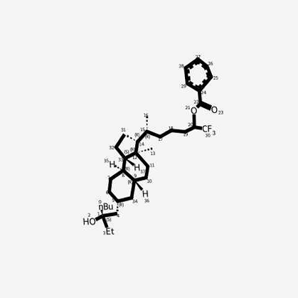 CCCC[C@@](O)(CC)C[C@@H]1CC[C@@H]2[C@H](CC[C@]3(C)[C@@H]([C@H](C)CCCC(OC(=O)c4ccccc4)C(F)(F)F)CC[C@@H]23)C1